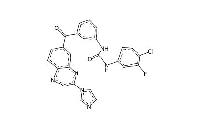 O=C(Nc1cccc(C(=O)c2ccc3ncc(-n4ccnc4)nc3c2)c1)Nc1ccc(Cl)c(F)c1